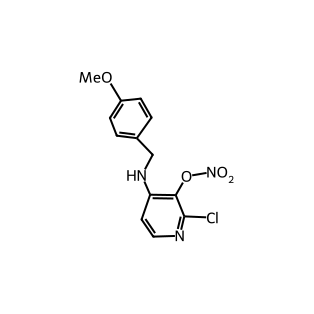 COc1ccc(CNc2ccnc(Cl)c2O[N+](=O)[O-])cc1